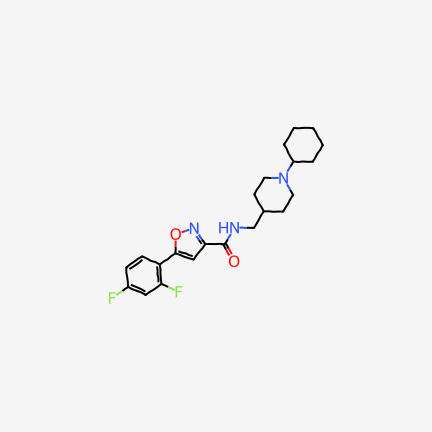 O=C(NCC1CCN(C2CCCCC2)CC1)c1cc(-c2ccc(F)cc2F)on1